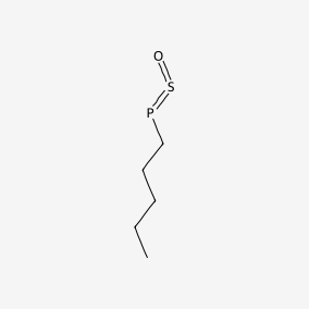 CCCCCP=S=O